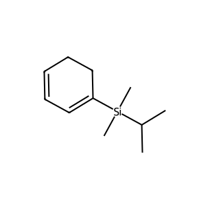 CC(C)[Si](C)(C)C1=CC=CCC1